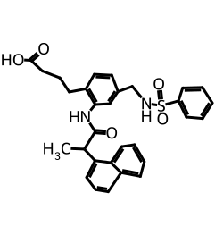 CC(C(=O)Nc1cc(CNS(=O)(=O)c2ccccc2)ccc1CCCC(=O)O)c1cccc2ccccc12